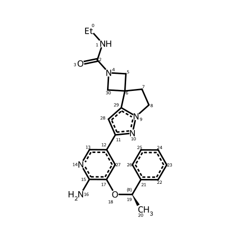 CCNC(=O)N1CC2(CCn3nc(-c4cnc(N)c(O[C@H](C)c5ccccc5)c4)cc32)C1